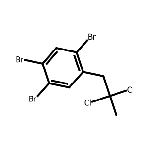 CC(Cl)(Cl)Cc1cc(Br)c(Br)cc1Br